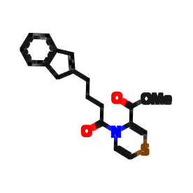 COC(=O)C1=CSC=CN1C(=O)CCCC1=Cc2ccccc2C1